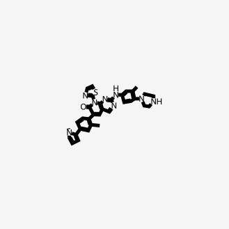 Cc1cc(-c2cccn2C)ccc1-c1cc2cnc(Nc3ccc(N4CCNCC4)c(C)c3)nc2n(-c2nccs2)c1=O